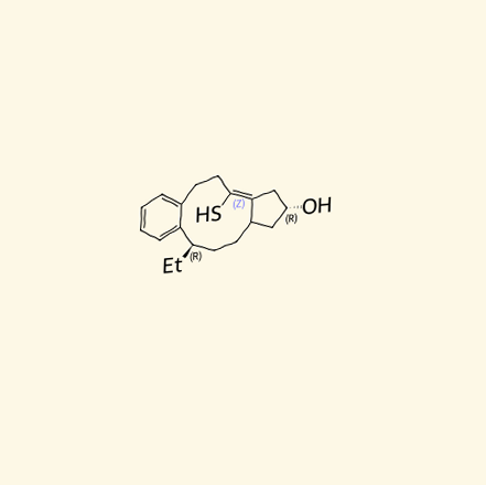 CC[C@@H]1CCC2C[C@@H](O)C/C2=C(/S)CCc2ccccc21